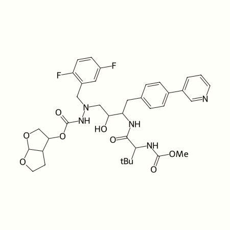 COC(=O)NC(C(=O)NC(Cc1ccc(-c2cccnc2)cc1)C(O)CN(Cc1cc(F)ccc1F)NC(=O)OC1COC2OCCC12)C(C)(C)C